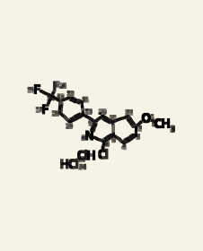 COc1ccc2c(Cl)nc(-c3ccc(C(F)(F)F)cc3)cc2c1.Cl.Cl